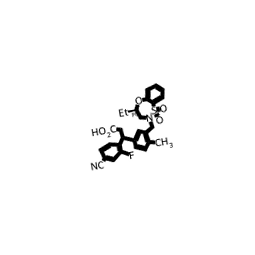 CC[C@@H]1CN(Cc2cc(C(CC(=O)O)c3ccc(C#N)cc3F)ccc2C)S(=O)(=O)c2ccccc2O1